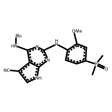 CCC(C)Nc1nc(Nc2ccc(P(C)(C)=O)cc2OC)nc2[nH]cc(C#N)c12